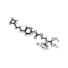 CC(C)N(CCOC(=O)Oc1ccc(CCCC2CCC2)cn1)C(C)C